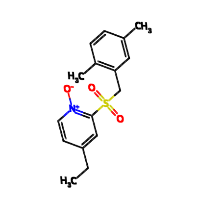 CCc1cc[n+]([O-])c(S(=O)(=O)Cc2cc(C)ccc2C)c1